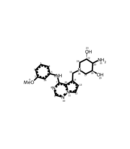 COc1cccc(Nc2ncnn3ccc(CN4C[C@H](O)C(N)[C@@H](O)C4)c23)c1